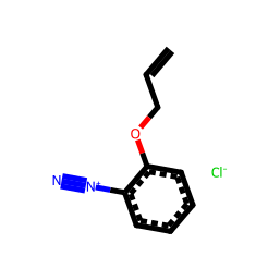 C=CCOc1ccccc1[N+]#N.[Cl-]